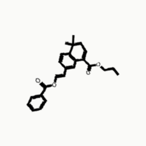 CCCOC(=O)C1=CCC(C)(C)c2ccc(C=COC(=O)c3ccccc3)cc21